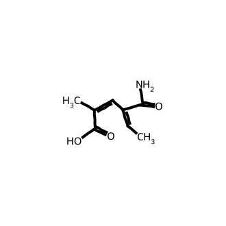 CC=C(C=C(C)C(=O)O)C(N)=O